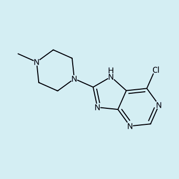 CN1CCN(c2nc3ncnc(Cl)c3[nH]2)CC1